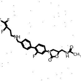 CC(=O)NCC1CN(c2ccc(-c3ccc(CNCCC(F)=C(F)F)cc3)c(F)c2)C(=O)O1